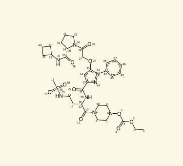 CCOC(=O)ON1CCN(C(=O)[C@H](CCNS(C)(=O)=O)NC(=O)c2cc(OCC(=O)N3CCC[C@H]3C(=O)NC3CCC3)n(-c3ccccc3)n2)CC1